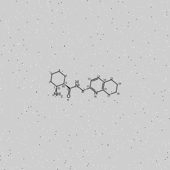 N[C@H]1CCCC[C@H]1C(=O)NCc1ccc2c(n1)CCCC2